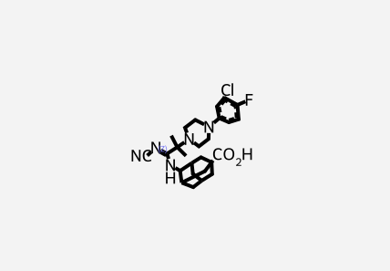 CC(C)(/C(=N/C#N)NC1C2CC3CC1CC(C(=O)O)(C3)C2)N1CCN(c2ccc(F)c(Cl)c2)CC1